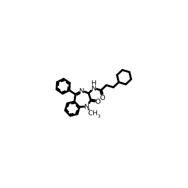 CN1C(=O)C(NC(=O)CCC2CCCCC2)N=C(c2ccccc2)c2ccccc21